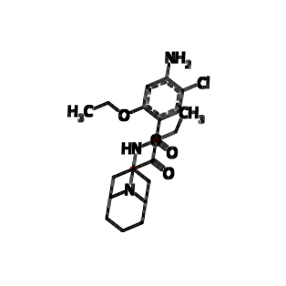 CCOC(=O)CN1C2CCCC1CC(NC(=O)c1cc(Cl)c(N)cc1OCC)C2